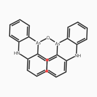 c1ccc2c(c1)Nc1ccccc1[As]2O[As]1c2ccccc2Nc2ccccc21